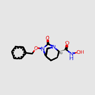 O=C(NO)[C@@H]1CCC2CN1C(=O)N2OCc1ccccc1